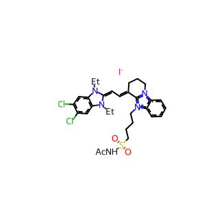 CCN1C(=CC=C2CCCn3c2[n+](CCCCS(=O)(=O)NC(C)=O)c2ccccc23)N(CC)c2cc(Cl)c(Cl)cc21.[I-]